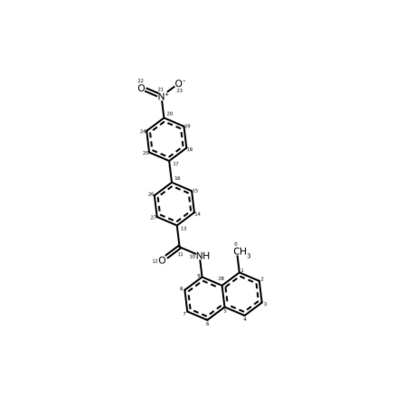 Cc1cccc2cccc(NC(=O)c3ccc(-c4ccc([N+](=O)[O-])cc4)cc3)c12